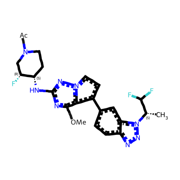 COc1nc(N[C@H]2CCN(C(C)=O)C[C@H]2F)nn2ccc(-c3ccc4nnn([C@@H](C)C(F)F)c4c3)c12